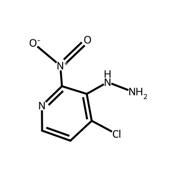 NNc1c(Cl)ccnc1[N+](=O)[O-]